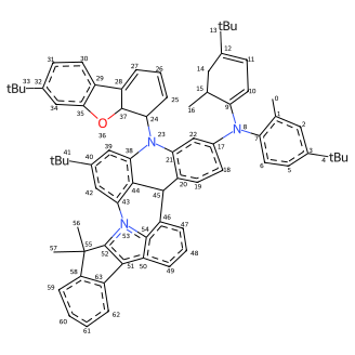 Cc1cc(C(C)(C)C)ccc1N(C1=CC=C(C(C)(C)C)CC1C)c1ccc2c(c1)N(C1C=CC=C3c4ccc(C(C)(C)C)cc4OC31)c1cc(C(C)(C)C)cc3c1C2c1cccc2c4c(n-3c12)C(C)(C)c1ccccc1-4